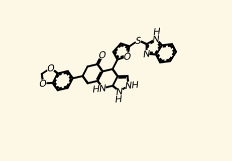 O=C1CC(c2ccc3c(c2)OCO3)CC2=C1C(c1ccc(Sc3nc4ccccc4[nH]3)o1)C1=CNNC1N2